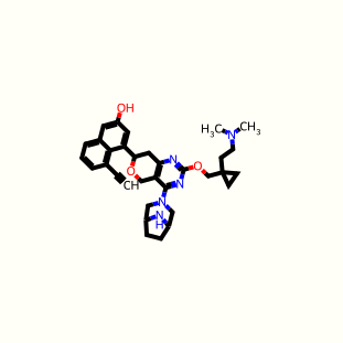 C#Cc1cccc2cc(O)cc(C3Cc4nc(OCC5(CCN(C)C)CC5)nc(N5CC6CCC(C5)N6)c4CO3)c12